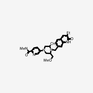 CCc1cc2ccc(CN3C(C)CN(c4ccc(C(=O)NC)nc4)CC3COC)cc2[nH]c1=O